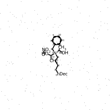 CCCCCCCCCCCCCC[N+](Cc1ccccc1)(C(C)O)C(C)O.O=[N+]([O-])[O-]